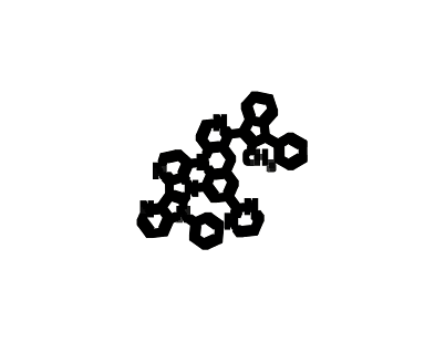 CC1=C(c2nccc3c2Cc2cc(-c4ncccn4)cc4c2B3c2ccnc3c5c6ncccc6n(-c6ccccc6)c5n-4c23)c2ccccc2C1c1ccccc1